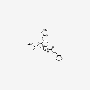 COC(=O)CC[C@]1(C(C)=O)C(=O)N(CC(=O)OC(C)(C)C)CCN1NC(=O)OCc1ccccc1